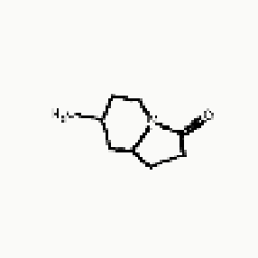 CC1CCN2C(=O)CCC2C1